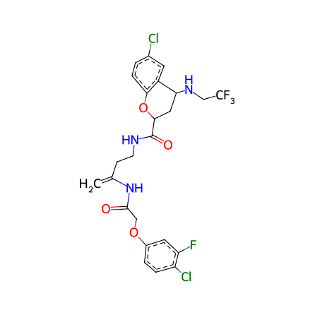 C=C(CCNC(=O)C1CC(NCC(F)(F)F)c2cc(Cl)ccc2O1)NC(=O)COc1ccc(Cl)c(F)c1